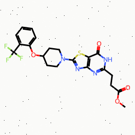 COC(=O)CCc1nc2nc(N3CCC(Oc4ccccc4C(F)(F)F)CC3)sc2c(=O)[nH]1